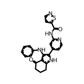 O=C(Nc1cc(-c2[nH]c3c(c2Nc2ccccc2)C(=O)CCC3)ccn1)c1ccns1